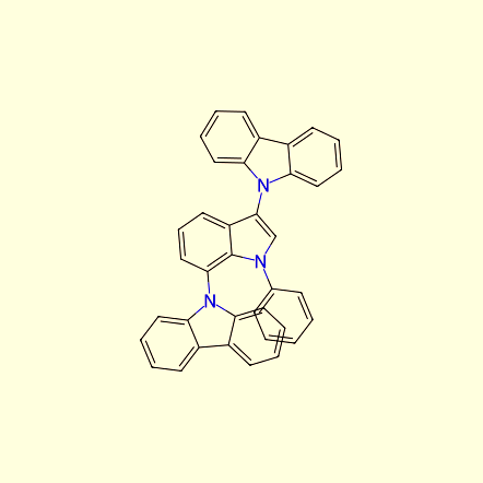 c1ccc(-n2cc(-n3c4ccccc4c4ccccc43)c3cccc(-n4c5ccccc5c5ccccc54)c32)cc1